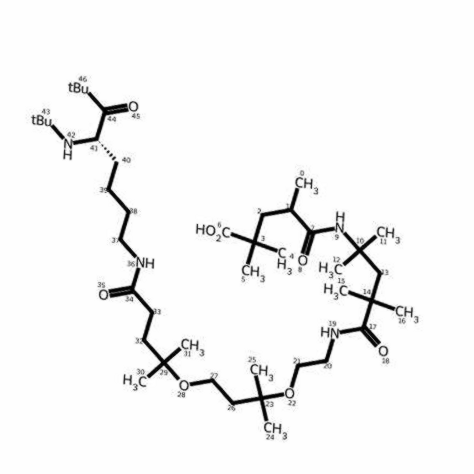 CC(CC(C)(C)C(=O)O)C(=O)NC(C)(C)CC(C)(C)C(=O)NCCOC(C)(C)CCOC(C)(C)CCC(=O)NCCCC[C@H](NC(C)(C)C)C(=O)C(C)(C)C